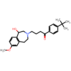 COc1ccc2c(c1)CCN(CCCC(=O)c1ccc(C(C)(C)C)cc1)CC2O